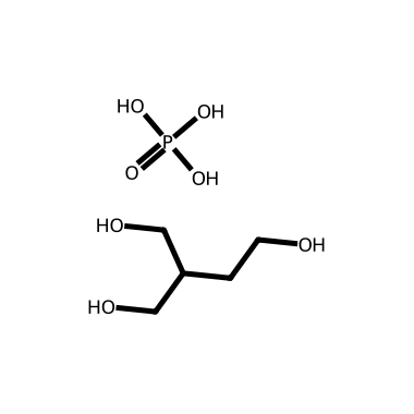 O=P(O)(O)O.OCCC(CO)CO